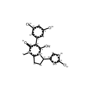 Cn1c2[n+](c(O)c(-c3cc(Cl)cc(Cl)c3)c1=O)C(c1cnc(Cl)s1)CC2